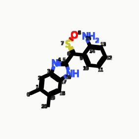 Cc1cc2nc(C(=S=O)c3ccccc3N)[nH]c2cc1C